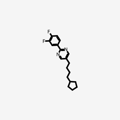 Fc1ccc(-c2ncc(CCCCC3CCCC3)cn2)cc1F